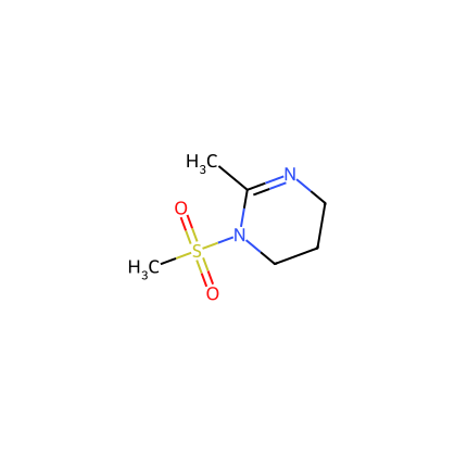 CC1=NCCCN1S(C)(=O)=O